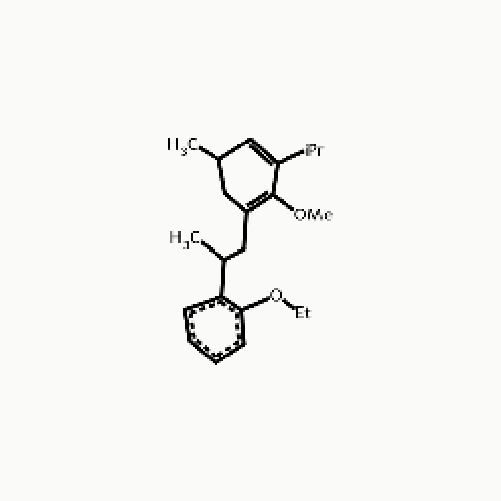 CCOc1ccccc1C(C)CC1=C(OC)C(C(C)C)=CC(C)C1